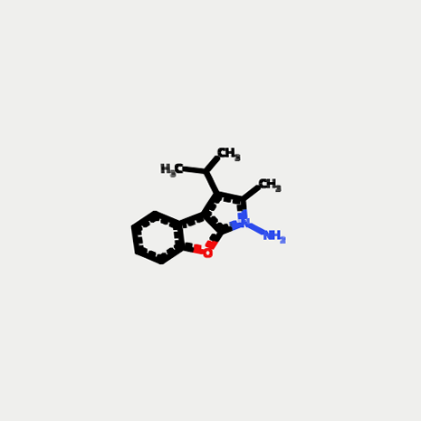 Cc1c(C(C)C)c2c3ccccc3oc2n1N